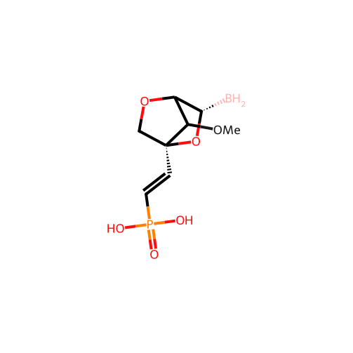 B[C@@H]1O[C@@]2(/C=C/P(=O)(O)O)COC1C2OC